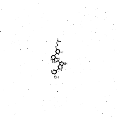 CN(C)CCOc1cc(F)cc(-c2ccnc3[nH]c(-c4n[nH]c5cnc(-c6cncc(O)c6)cc45)nc23)c1